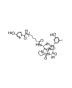 Cc1cc(O)cc(-c2nnc(C(=O)[C@@H](NC(=O)[C@@H]3CCCN3C(=O)[C@@H](NC(=O)CCCCC(C)(C)NC(=O)c3ccc(O)cn3)C(C)C)C(C)C)o2)c1